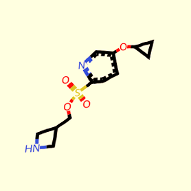 O=S(=O)(OCC1CNC1)c1ccc(OC2CC2)cn1